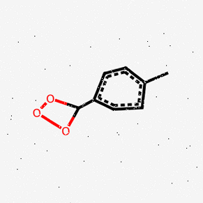 Cc1ccc(C2OOO2)cc1